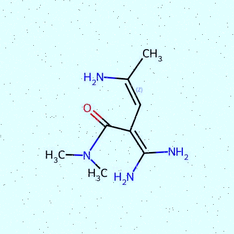 C/C(N)=C/C(C(=O)N(C)C)=C(N)N